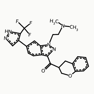 CN(C)CCn1nc(C(=O)C2COc3ccccc3C2)c2ccc(-c3cn[nH]c3C(F)(F)F)cc21